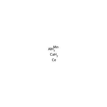 [AlH3].[CaH2].[Ce].[Mn]